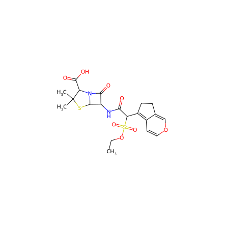 CCOS(=O)(=O)C(C(=O)NC1C(=O)N2C1SC(C)(C)C2C(=O)O)C1=C2C=COC=C2CC1